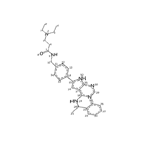 CCN(CC)CCC(=O)NCc1ccc(-c2cc3c(NC(C)c4ccccc4)ncnc3[nH]2)cc1